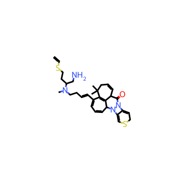 C=CSCCC(CN)N(C)CC/C=C/C1=CC=CC2C3=C1C(C)(C)CC=CC3C(=O)n1c3c(n12)=CSCC=3